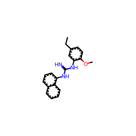 CCc1ccc(OC)c(NC(=N)Nc2cccc3ccccc23)c1